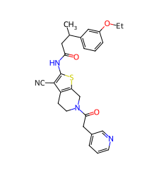 CCOc1cccc(C(C)CC(=O)Nc2sc3c(c2C#N)CCN(C(=O)Cc2cccnc2)C3)c1